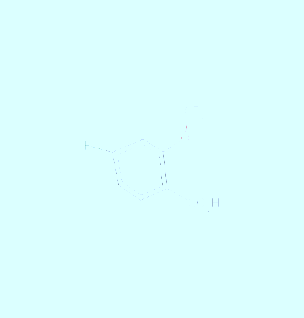 O=C(O)c1ccc(F)cc1OC(F)(F)F